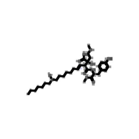 CCCCCCC[S+]([O-])CCCCCC/C=C/[C@H](C(=O)N[C@@H](Cc1ccc(O)cc1)C(=O)OC)[C@@](O)(CCOC)C(=O)O